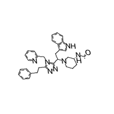 O=[C]N[C@@H]1CCCN(C(Cc2c[nH]c3ccccc23)c2nnc(CCc3ccccc3)n2Cc2ccccn2)C1